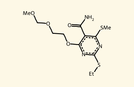 CCSc1nc(OCCOCOC)c(C(N)=O)c(SC)n1